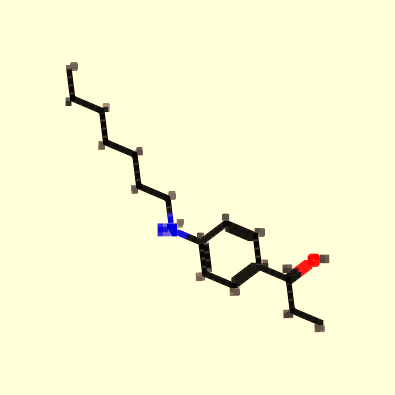 CCCCCCCNc1ccc(C(=O)CC)cc1